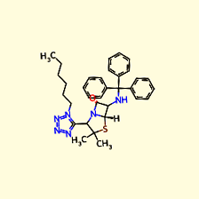 CCCCCCn1nnnc1C1N2C(=O)C(NC(c3ccccc3)(c3ccccc3)c3ccccc3)[C@@H]2SC1(C)C